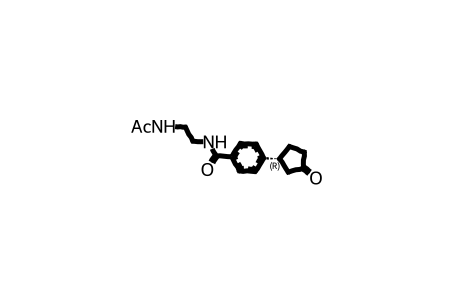 CC(=O)NCCNC(=O)c1ccc([C@@H]2CCC(=O)C2)cc1